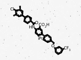 Cc1cc(-c2ccc(C(=O)Nc3cc(C(C)C)c(-c4ccc(COc5cccc(C(F)(F)F)c5)cc4)cc3C(=O)O)cc2)cc(C)c1Cl